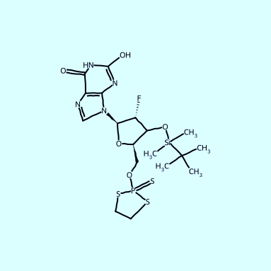 CC(C)(C)[Si](C)(C)OC1[C@@H](F)[C@H](n2cnc3c(=O)[nH]c(O)nc32)O[C@@H]1COP1(=S)SCCS1